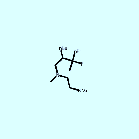 CCCCC(CN(C)CCNC)C(C)(F)CCC